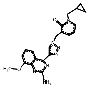 COc1cccc2c(-c3cn(Cc4cccn(CC5CC5)c4=O)nn3)nc(N)nc12